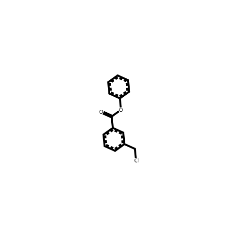 O=C(Oc1ccccc1)c1cccc(CCl)c1